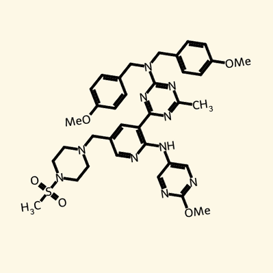 COc1ccc(CN(Cc2ccc(OC)cc2)c2nc(C)nc(-c3cc(CN4CCN(S(C)(=O)=O)CC4)cnc3Nc3cnc(OC)nc3)n2)cc1